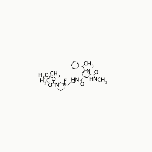 CNC(=O)c1cc(C(=O)NCCC[C@]2(F)CCCN(C(=O)OC(C)(C)C)C2)cc(C(C)c2ccccc2)n1